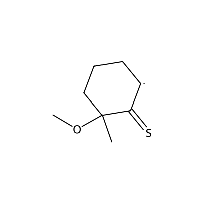 COC1(C)CCC[CH]C1=S